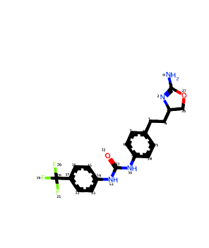 NC1=NC(CCc2ccc(NC(=O)Nc3ccc(C(F)(F)F)cc3)cc2)CO1